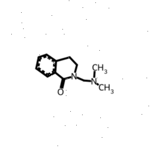 CN(C)CN1CCc2ccccc2C1=O